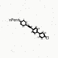 CCCCCC1CCC(C#Cc2ccc(-c3ccc(Cl)cc3)cc2)CC1